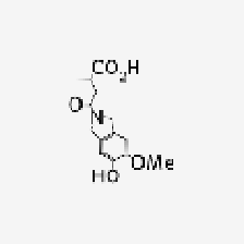 COc1cc2c(cc1O)CN(C(=O)CC(C)C(=O)O)C2